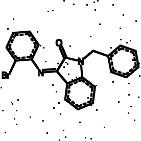 O=C1C(=Nc2ccccc2Br)c2ccccc2N1Cc1ccccc1